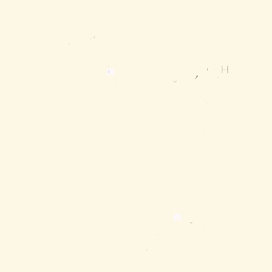 C=C(CC/C=C(\C)CCC=C(C)C)CC[C@@H]1C=C(CC/C=C(\C)CCC=C(C)C)C[C@@H](C(=O)O)C1